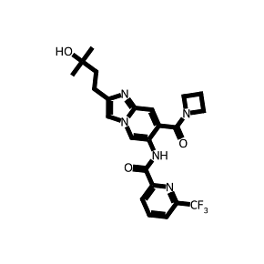 CC(C)(O)CCc1cn2cc(NC(=O)c3cccc(C(F)(F)F)n3)c(C(=O)N3CCC3)cc2n1